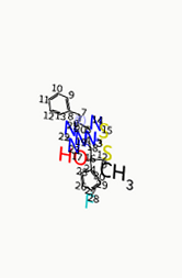 CC(Sc1nc(/C=C/c2ccccc2)ns1)C(O)(Cn1cncn1)c1ccc(F)cc1